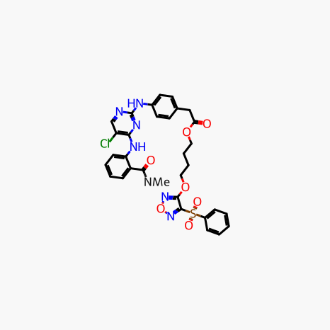 CNC(=O)c1ccccc1Nc1nc(Nc2ccc(CC(=O)OCCCCOc3nonc3S(=O)(=O)c3ccccc3)cc2)ncc1Cl